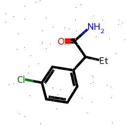 CCC(C(N)=O)c1cccc(Cl)c1